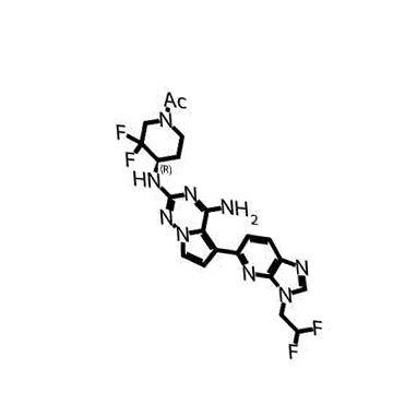 CC(=O)N1CC[C@@H](Nc2nc(N)c3c(-c4ccc5ncn(CC(F)F)c5n4)ccn3n2)C(F)(F)C1